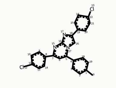 Cc1ccc(-c2cc(-c3ccc(Cl)cc3)nc3nc(-c4ccc(Cl)cc4)cn23)cc1